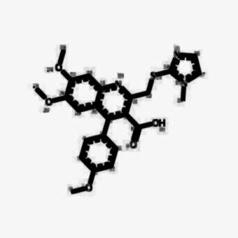 COc1ccc(-c2c(C(=O)O)c(CSc3nccn3C)nc3cc(OC)c(OC)cc23)cc1